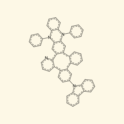 c1ccc(-n2c3ccccc3n(-c3ccccc3)c3cc4c(cc32)c2ccccc2c2cc(-n3c5ccccc5c5ccccc53)ccc2c2cccnc24)cc1